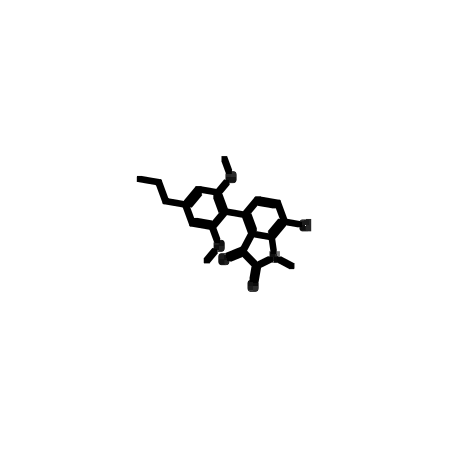 CCCc1cc(OC)c(-c2ccc(Cl)c3c2C(=O)C(=O)N3C)c(OC)c1